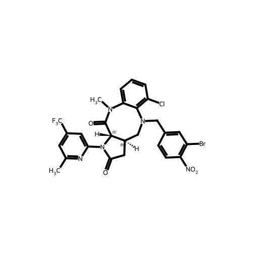 Cc1cc(C(F)(F)F)cc(N2C(=O)C[C@@H]3CN(Cc4ccc([N+](=O)[O-])c(Br)c4)c4c(Cl)cccc4N(C)C(=O)[C@H]32)n1